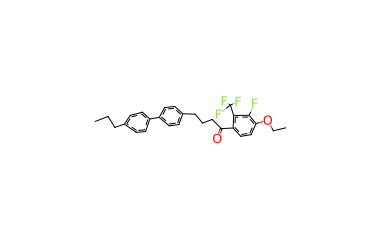 CCCc1ccc(-c2ccc(CCCC(=O)c3ccc(OCC)c(F)c3C(F)(F)F)cc2)cc1